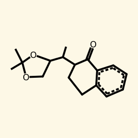 CC(C1COC(C)(C)O1)C1CCc2ccccc2C1=O